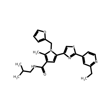 CCc1cc(-c2nc(-c3cc(C(=O)NCC(C)C)c(C)n3Cc3ccco3)cs2)ccn1